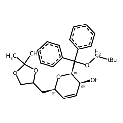 CC1(C)OCC(C[C@@H]2C=C[C@H](O)[C@H](C(O[SiH2]C(C)(C)C)(c3ccccc3)c3ccccc3)O2)O1